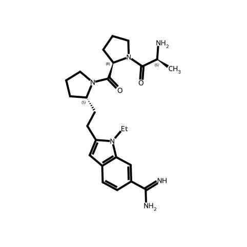 CCn1c(CC[C@@H]2CCCN2C(=O)[C@H]2CCCN2C(=O)[C@H](C)N)cc2ccc(C(=N)N)cc21